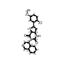 CC(C)Oc1ccc(Cl)c(-c2cc3[nH]c(=O)n(-c4cncc5ccccc45)c(=O)c3s2)c1